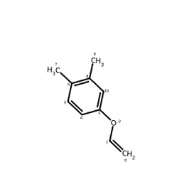 C=COc1ccc(C)c(C)c1